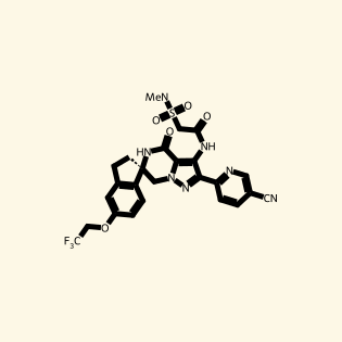 CNS(=O)(=O)CC(=O)Nc1c(-c2ccc(C#N)cn2)nn2c1C(=O)N[C@@]1(CCc3cc(OCC(F)(F)F)ccc31)C2